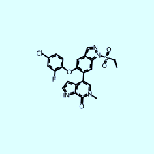 CCS(=O)(=O)n1ncc2cc(Oc3ccc(Cl)cc3F)c(-c3cn(C)c(=O)c4[nH]ccc34)cc21